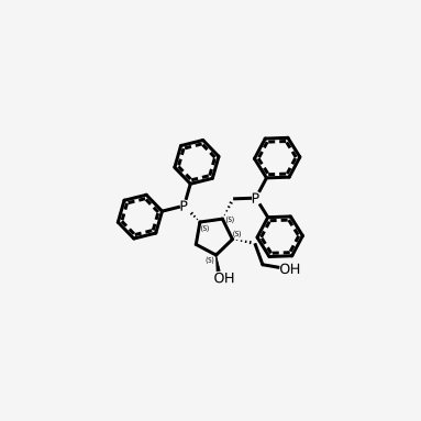 OCC[C@H]1[C@@H](CP(c2ccccc2)c2ccccc2)[C@@H](P(c2ccccc2)c2ccccc2)C[C@@H]1O